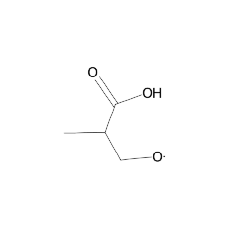 CC(C[O])C(=O)O